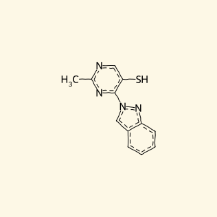 Cc1ncc(S)c(-n2cc3ccccc3n2)n1